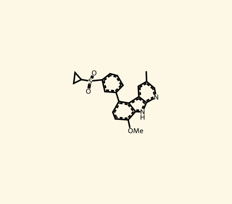 COc1ccc(-c2cccc(S(=O)(=O)C3CC3)c2)c2c1[nH]c1ncc(C)cc12